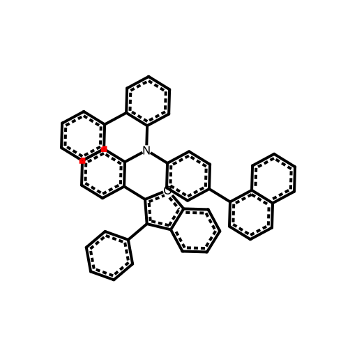 c1ccc(-c2ccccc2N(c2ccc(-c3cccc4ccccc34)cc2)c2ccccc2-c2oc3ccccc3c2-c2ccccc2)cc1